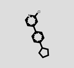 Clc1cc(-c2ccc(C3CCCC3)cc2)ccn1